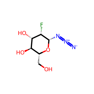 [N-]=[N+]=N[C@@H]1O[C@H](CO)[C@@H](O)[C@H](O)[C@@H]1F